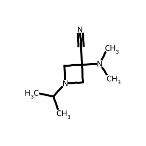 CC(C)N1CC(C#N)(N(C)C)C1